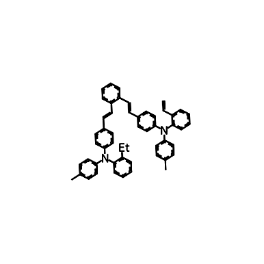 C=Cc1ccccc1N(c1ccc(C)cc1)c1ccc(C=Cc2ccccc2C=Cc2ccc(N(c3ccc(C)cc3)c3ccccc3CC)cc2)cc1